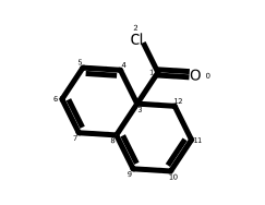 O=C(Cl)C12C=CC=CC1=CC=CC2